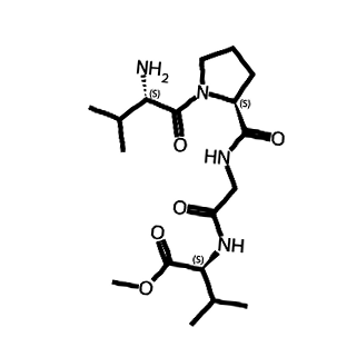 COC(=O)[C@@H](NC(=O)CNC(=O)[C@@H]1CCCN1C(=O)[C@@H](N)C(C)C)C(C)C